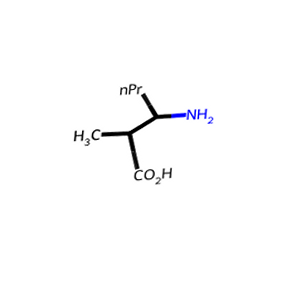 CCCC(N)C(C)C(=O)O